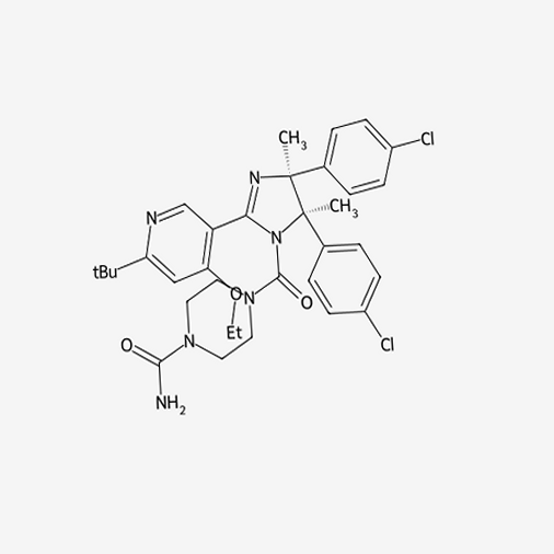 CCOc1cc(C(C)(C)C)ncc1C1=N[C@@](C)(c2ccc(Cl)cc2)[C@@](C)(c2ccc(Cl)cc2)N1C(=O)N1CCN(C(N)=O)CC1